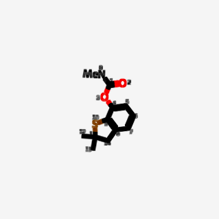 CNC(=O)Oc1cccc2c1SC(C)(C)C2